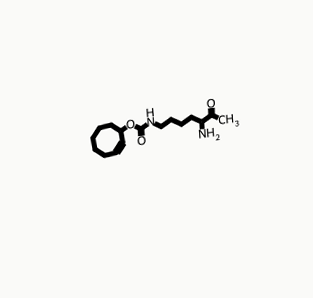 CC(=O)C(N)CCCCNC(=O)OC1C#CCCCCC1